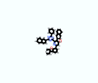 C1=c2ccccc2=CC2c3c(cc(-c4cccc5c4oc4ccccc45)nc3-c3nc(-c4ccccc4)nc(-c4ccc5ccccc5c4)n3)OC12